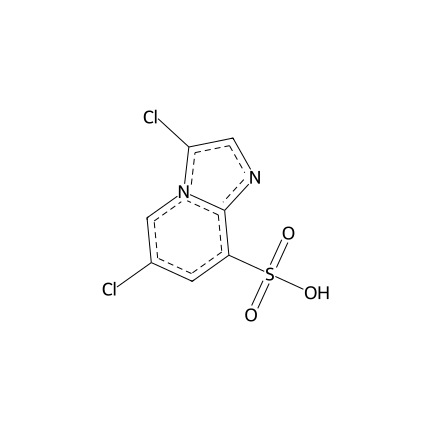 O=S(=O)(O)c1cc(Cl)cn2c(Cl)cnc12